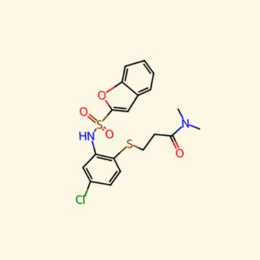 CN(C)C(=O)CCSc1ccc(Cl)cc1NS(=O)(=O)c1cc2ccccc2o1